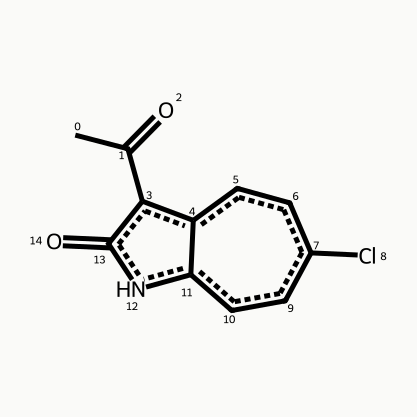 CC(=O)c1c2ccc(Cl)ccc-2[nH]c1=O